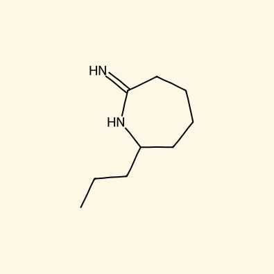 CCCC1CCCCC(=N)N1